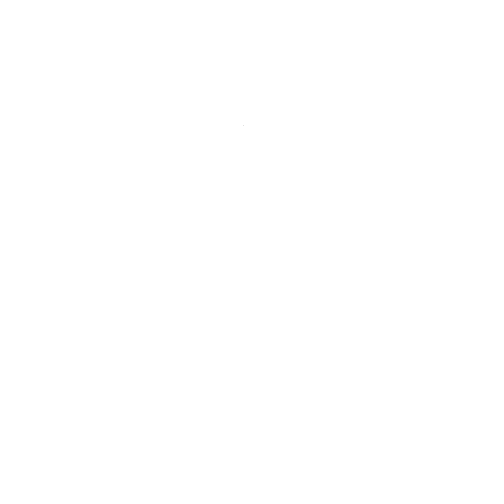 CC(C)CC1=C[CH]CC=C1